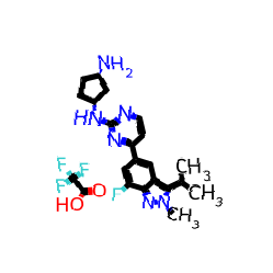 CC(C)c1c2cc(-c3ccnc(N[C@H]4CC[C@H](N)C4)n3)cc(F)c2nn1C.O=C(O)C(F)(F)F